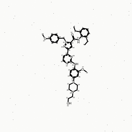 CCc1cccc(CC)c1NC(=O)c1cc(-c2ccnc(Nc3ccc(N4CCN(CCO)CC4)cc3OC)n2)nn1Cc1ccc(OC)cc1